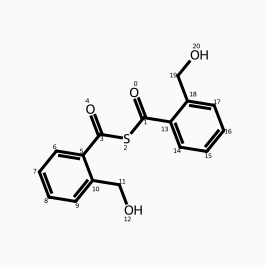 O=C(SC(=O)c1ccccc1CO)c1ccccc1CO